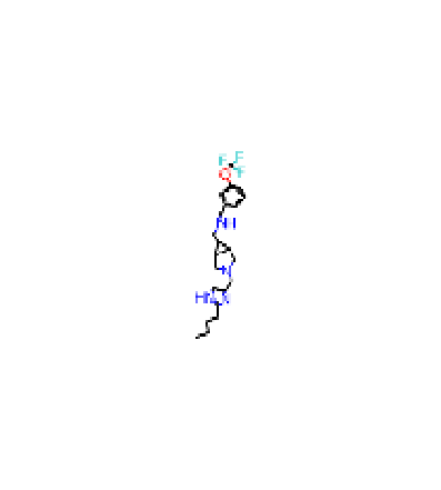 CCCCc1nc(CN2CC3C(CNCc4cccc(OC(F)(F)F)c4)C3C2)c[nH]1